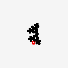 Cc1c(C(C)(C)C)cc(C=C2C=C(C(C)(C)C)C(=O)C(C(C)(C)C)=C2)cc1C(C)(C)C